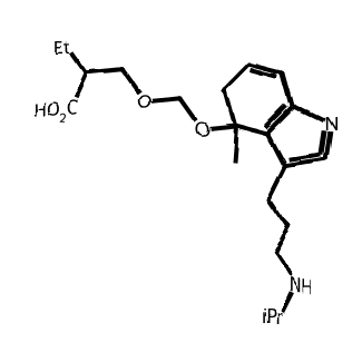 CCC(COCOC1(C)CC=CC2=C1C(CCCNC(C)C)=C=N2)C(=O)O